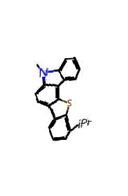 CC(C)c1cccc2c1sc1c2ccc2c1c1ccccc1n2C